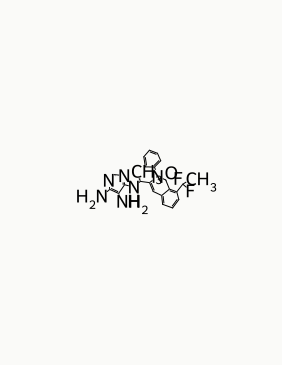 C[C@H](Nc1ncnc(N)c1N)c1cc2cccc(C(C)(F)F)c2c(=O)n1-c1ccccc1